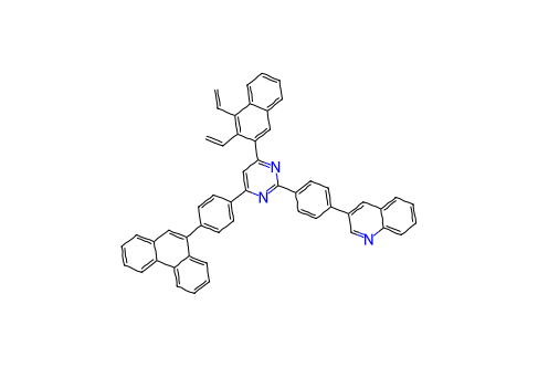 C=Cc1c(-c2cc(-c3ccc(-c4cc5ccccc5c5ccccc45)cc3)nc(-c3ccc(-c4cnc5ccccc5c4)cc3)n2)cc2ccccc2c1C=C